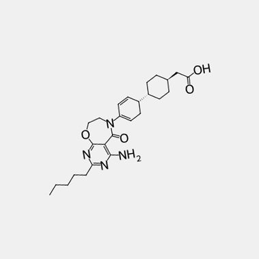 CCCCCc1nc(N)c2c(n1)OCCN(C1=CCC([C@H]3CC[C@H](CC(=O)O)CC3)C=C1)C2=O